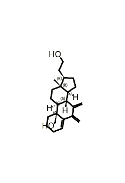 C=C1C(=C)[C@@H]2[C@H](CC[C@]3(C)[C@@H](CCO)CC[C@@H]23)[C@@]2(CO)CCCC=C12